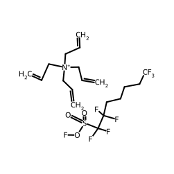 C=CC[N+](CC=C)(CC=C)CC=C.O=S(=O)(OF)C(F)(F)C(F)(F)CCCCC(F)(F)F